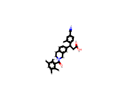 Cc1cc(C#N)ccc1C(CC(=O)O)c1ccc2c(c1)CN(C(=O)c1c(C)c(C)cc(C)c1C)CC2